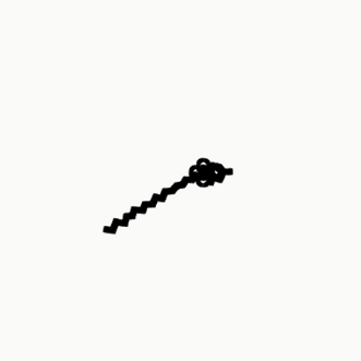 CCCCCCCCCCCCCCCCCCOS(=O)(=O)c1ccc(C)cc1C